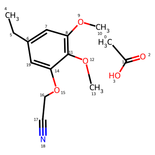 CC(=O)O.CCc1cc(OC)c(OC)c(OCC#N)c1